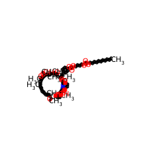 CCCCCCCCCCCCOC(=O)OCCCCOC(=O)O[C@H]1CC[C@H](C[C@@H](C)[C@@H]2CC(=O)[C@H](C)/C=C(\C)[C@@H](O)[C@@H](OC)C(=O)[C@H](C)C[C@H](C)/C=C/C=C/C=C(\C)[C@@H](OC)C[C@@H]3CC[C@@H](C)[C@@](O)(O3)C(=O)C(=O)N3CCCC[C@H]3C(=O)O2)CC1